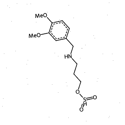 COc1ccc(CNCCCO[SH](=O)=O)cc1OC